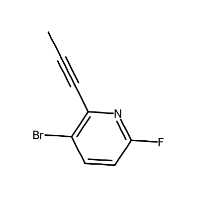 CC#Cc1nc(F)ccc1Br